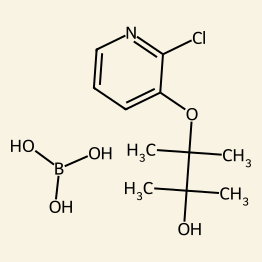 CC(C)(O)C(C)(C)Oc1cccnc1Cl.OB(O)O